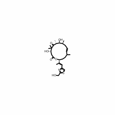 C/C(=C\c1csc(CO)n1)[C@@H]1CCC(C)/C=C/C[C@H](C)[C@H](O)[C@@H](C)C(=O)C(C)(C)[C@@H](O)CC(=O)O1